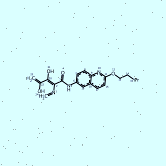 C=N/C(C(=O)Nc1ccc2nc(OCCC(C)C)ccc2c1)=C(/O)C(=C)O